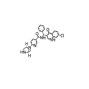 O=C(NC(c1ccccc1)c1c[nH]c2cc(Cl)ccc2c1=O)c1ccc(N2C[C@@H]3C[C@H]2CN3)nc1